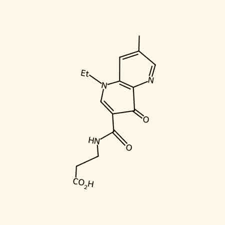 CCn1cc(C(=O)NCCC(=O)O)c(=O)c2ncc(C)cc21